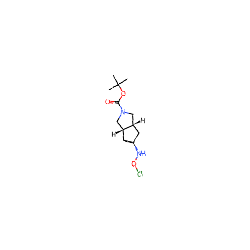 CC(C)(C)OC(=O)N1C[C@H]2C[C@H](NOCl)C[C@H]2C1